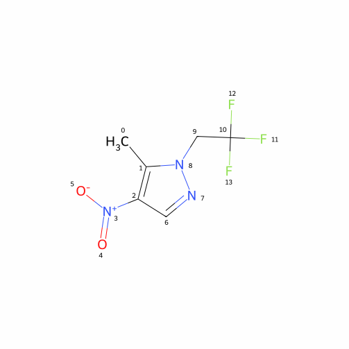 Cc1c([N+](=O)[O-])cnn1CC(F)(F)F